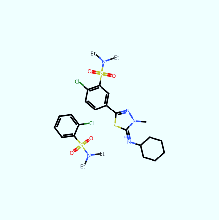 CCN(CC)S(=O)(=O)c1cc(-c2nn(C)/c(=N\C3CCCCC3)s2)ccc1Cl.CCN(CC)S(=O)(=O)c1ccccc1Cl